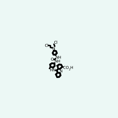 Cc1ccc(NC(=O)Nc2ccc(N(CCCl)CCCl)cc2)cc1Nc1c2ccccc2nc2c(C(=O)O)cccc12